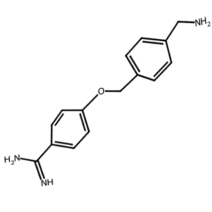 N=C(N)c1ccc(OCc2ccc(CN)cc2)cc1